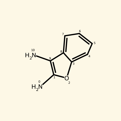 Nc1oc2ccccc2c1N